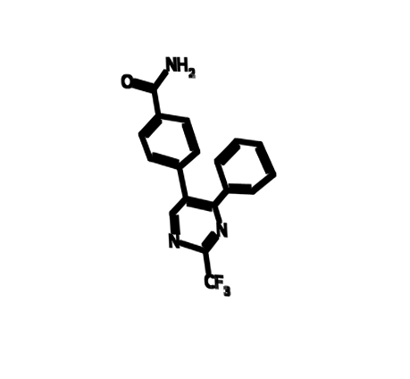 NC(=O)c1ccc(-c2cnc(C(F)(F)F)nc2-c2ccccc2)cc1